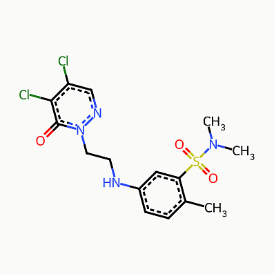 Cc1ccc(NCCn2ncc(Cl)c(Cl)c2=O)cc1S(=O)(=O)N(C)C